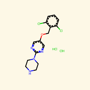 Cl.Cl.Clc1cccc(Cl)c1COc1cnc(N2CCNCC2)nc1